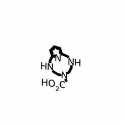 O=C(O)CN1CCNCc2cccc(n2)CNCC1